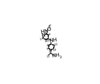 CONc1cc(Nc2ccc(C(C)N)cc2)ccn1